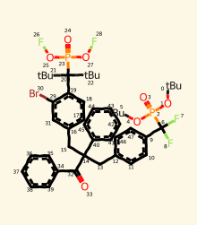 CC(C)(C)OP(=O)(OC(C)(C)C)C(F)(F)c1ccc(CC(Cc2ccc(C(C(C)(C)C)(C(C)(C)C)P(=O)(OF)OF)c(Br)c2)(C(=O)c2ccccc2)c2ccccc2)cc1